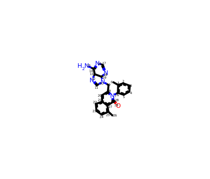 Cc1ccccc1-n1c(CN2C=NC3C(N)=NC=NC32)cc2cccc(C)c2c1=O